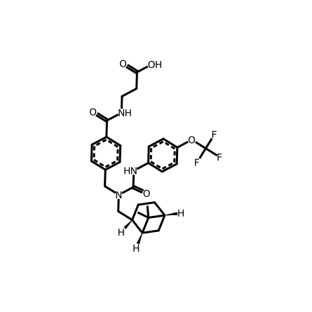 CC1(C)[C@@H]2CC[C@@H](CN(Cc3ccc(C(=O)NCCC(=O)O)cc3)C(=O)Nc3ccc(OC(F)(F)F)cc3)[C@H]1C2